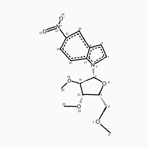 COC[C@H]1O[C@@H](n2ccc3cc([N+](=O)[O-])ccc32)C(OC)[C@H]1OC